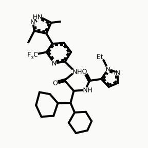 CCn1nccc1C(=O)NC(C(=O)Nc1ccc(-c2c(C)n[nH]c2C)c(C(F)(F)F)n1)C(C1CCCCC1)C1CCCCC1